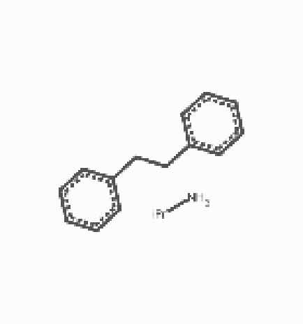 CC(C)N.c1ccc(CCc2ccccc2)cc1